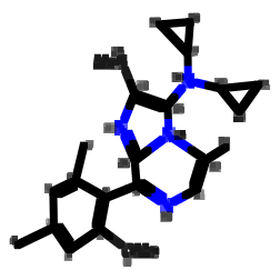 COc1cc(C)cc(C)c1-c1ncc(C)n2c(N(C3CC3)C3CC3)c(SC)nc12